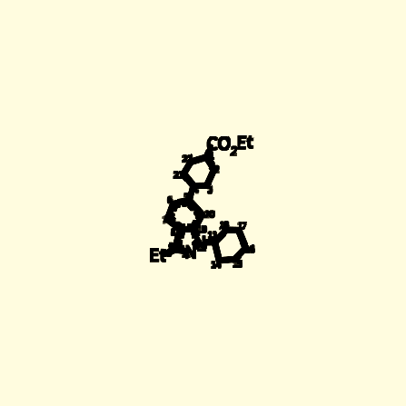 CCOC(=O)C1CCC(c2ccc3c(CC)nn(C4CCCCC4)c3c2)CC1